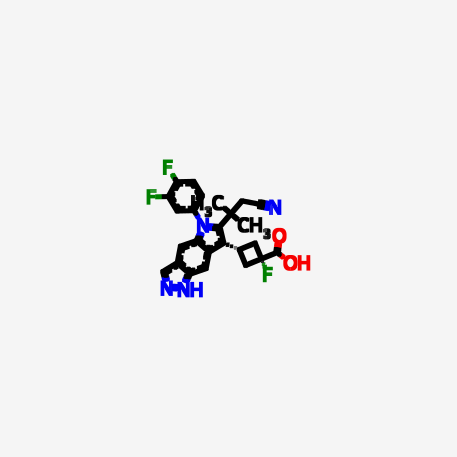 CC(C)(CC#N)c1c([C@H]2C[C@](F)(C(=O)O)C2)c2cc3[nH]ncc3cc2n1-c1ccc(F)c(F)c1